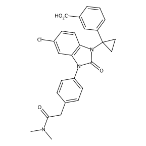 CN(C)C(=O)Cc1ccc(-n2c(=O)n(C3(c4cccc(C(=O)O)c4)CC3)c3ccc(Cl)cc32)cc1